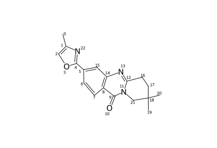 Cc1coc(-c2ccc3c(=O)n4c(nc3c2)CCC(C)(C)C4)n1